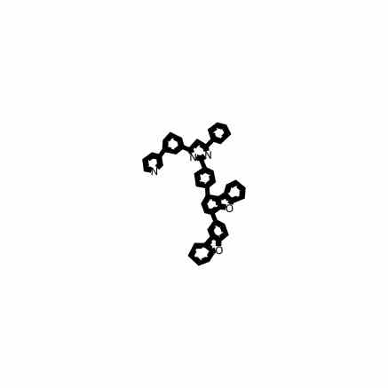 c1ccc(-c2cc(-c3cccc(-c4cccnc4)c3)nc(-c3ccc(-c4ccc(-c5ccc6oc7ccccc7c6c5)c5oc6ccccc6c45)cc3)n2)cc1